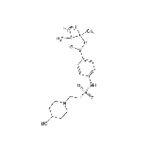 CC1(C)OB(c2ccc(NS(=O)(=O)CCN3CCC(O)CC3)cc2)OC1(C)C